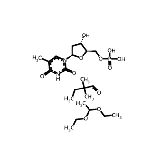 CCC(C)(C)C=O.CCOC(C)OCC.Cc1cn([C@H]2C[C@H](O)[C@@H](COP(=O)(O)O)O2)c(=O)[nH]c1=O